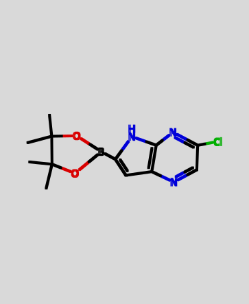 CC1(C)OB(c2cc3ncc(Cl)nc3[nH]2)OC1(C)C